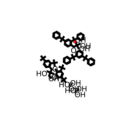 CC(C)(C)c1ccc(OC(c2ccc(C(C)(C)C)cc2C(C)(C)C)C(CO)(CO)CO)c(C(C)(C)C)c1.CC(C)(c1ccccc1)c1ccc(OC(c2ccc(C(C)(C)c3ccccc3)cc2C(C)(C)c2ccccc2)C(CO)(CO)CO)c(C(C)(C)c2ccccc2)c1.OP(O)O.OP(O)O